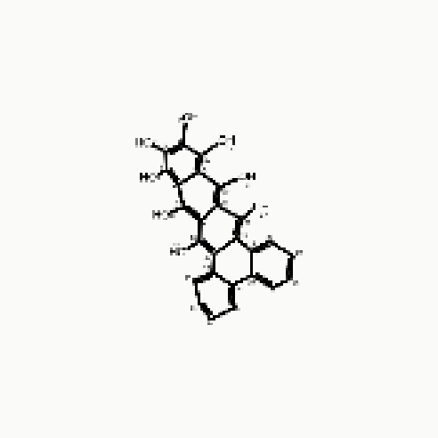 Oc1c(O)c(O)c2c(O)c3c(O)c4c5ccccc5c5ccccc5c4c(O)c3c(O)c2c1O